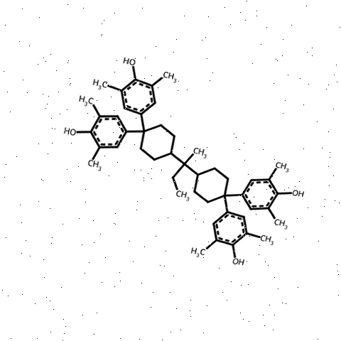 CCC(C)(C1CCC(c2cc(C)c(O)c(C)c2)(c2cc(C)c(O)c(C)c2)CC1)C1CCC(c2cc(C)c(O)c(C)c2)(c2cc(C)c(O)c(C)c2)CC1